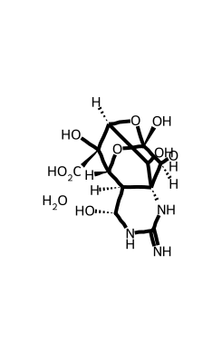 N=C1N[C@H](O)[C@H]2[C@H]3O[C@]4(O)O[C@@H](C(O)[C@@]2(N1)[C@@H]4O)[C@]3(O)C(=O)O.O